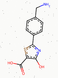 NCc1ccc(-c2nc(O)c(C(=O)O)s2)cc1